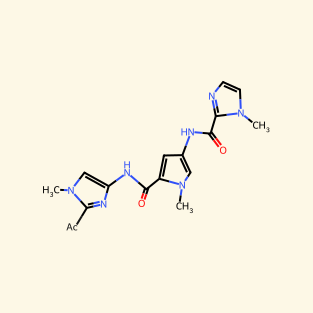 CC(=O)c1nc(NC(=O)c2cc(NC(=O)c3nccn3C)cn2C)cn1C